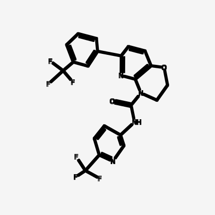 O=C(Nc1ccc(C(F)(F)F)nc1)N1CCOc2ccc(-c3cccc(C(F)(F)F)c3)nc21